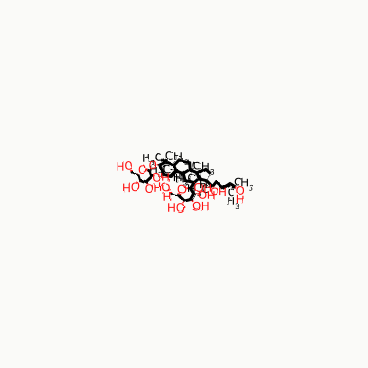 CC(C)(O)C=CC[C@@](C)(O)[C@H]1CC[C@@]2(C)[C@@H]1[C@@](O)([C@@H]1O[C@H](CO)[C@@H](O)[C@H](O)[C@H]1O)C[C@@H]1[C@@]3(C)CC[C@H](O[C@@H]4O[C@H](CO)[C@@H](O)[C@H](O)[C@H]4O)C(C)(C)C3CC[C@]12C